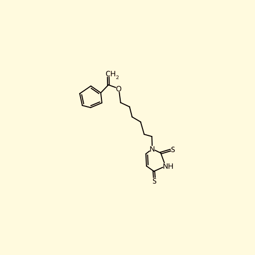 C=C(OCCCCCCn1ccc(=S)[nH]c1=S)c1ccccc1